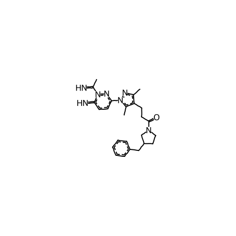 CC(=N)n1nc(-n2nc(C)c(CCC(=O)N3CCC(Cc4ccccc4)C3)c2C)ccc1=N